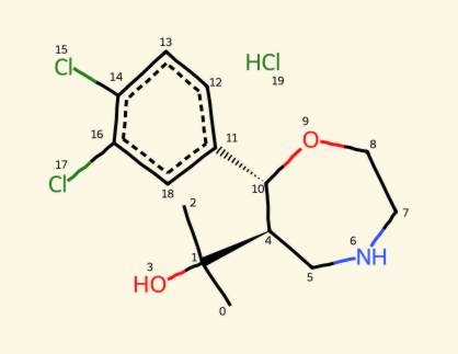 CC(C)(O)[C@@H]1CNCCO[C@H]1c1ccc(Cl)c(Cl)c1.Cl